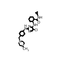 CN1CCN(Cc2ccc(Nc3ncc(Cl)c(Nc4ccccc4C(=O)NC4CC4)n3)cc2)CC1